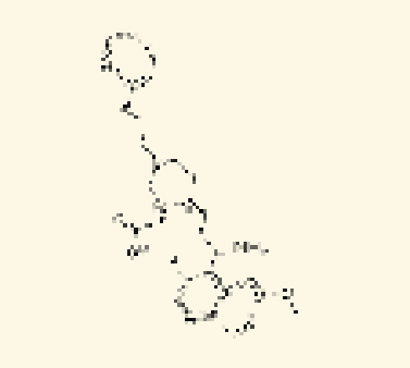 COc1ccc2ncc(F)c([C@@H](N)CC[C@@H]3CCN(CCSc4ccccn4)C[C@@H]3CC(=O)O)c2c1